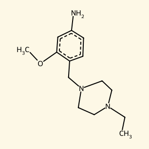 CCN1CCN(Cc2ccc(N)cc2OC)CC1